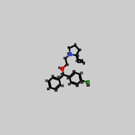 C[C@@H]1CCCN1CCOC(c1ccccc1)c1ccc(Cl)cc1